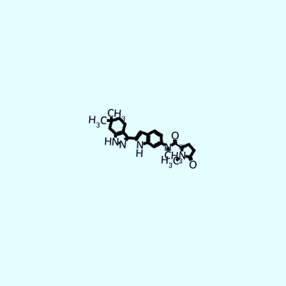 CN(C(=O)[C@H]1CCC(=O)N1C)c1ccc2cc(-c3n[nH]c4c3CCC(C)(C)C4)[nH]c2c1